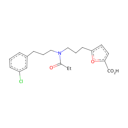 CCC(=O)N(CCCc1cccc(Cl)c1)CCCc1ccc(C(=O)O)o1